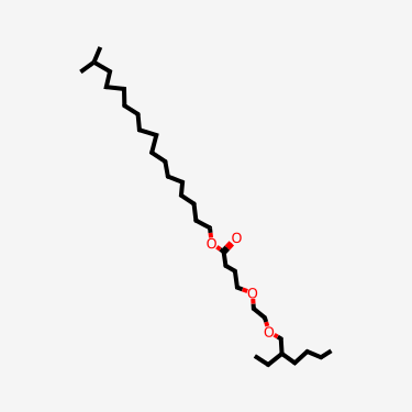 CCCCC(CC)COCCOCCCC(=O)OCCCCCCCCCCCCCCCC(C)C